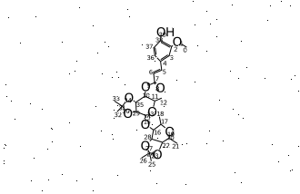 COc1cc(/C=C/C(=O)OC2C(C)OC(OC3C(C)OC(C)C4OC(C)(C)OC34)C3OC(C)(C)OC23)ccc1O